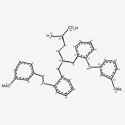 COc1cccc(COc2ccccc2CN(CCC(N)C(=O)O)Cc2ccccc2Oc2cccc(OC)c2)c1